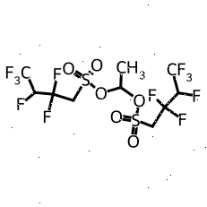 CC(OS(=O)(=O)CC(F)(F)C(F)C(F)(F)F)OS(=O)(=O)CC(F)(F)C(F)C(F)(F)F